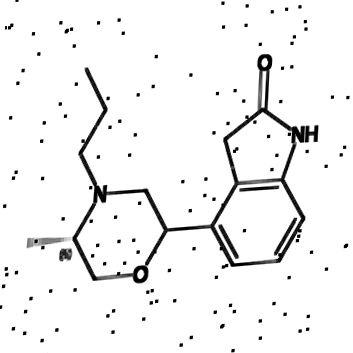 CCCN1CC(c2cccc3c2CC(=O)N3)OC[C@@H]1C